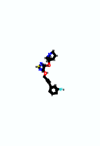 Fc1cccc(C#CCOc2nsnc2OC2CN3CCC2C3)c1